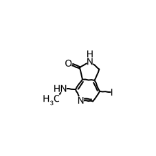 CNc1ncc(I)c2c1C(=O)NC2